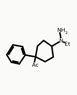 CCN(N)C1CCC(C(C)=O)(c2ccccc2)CC1